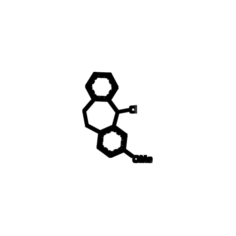 COc1ccc2c(c1)C(Cl)c1ccccc1CC2